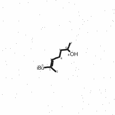 CCC(C)C(C)=CCCC(C)O